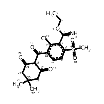 CCOC(=N)c1c(S(C)(=O)=O)ccc(C(=O)C2C(=O)CC(C)(C)CC2=O)c1Cl